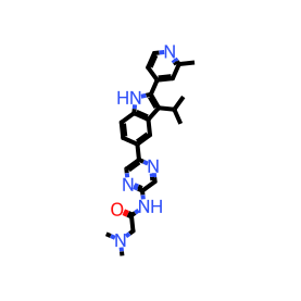 Cc1cc(-c2[nH]c3ccc(-c4cnc(NC(=O)CN(C)C)cn4)cc3c2C(C)C)ccn1